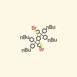 CCCCc1ccc(C2(c3ccc(CCCC)cc3)c3cc4c(cc3-c3sc(Br)cc32)C(c2ccc(CCCC)cc2)(c2ccc(CCCC)cc2)c2cc(Br)sc2-4)cc1